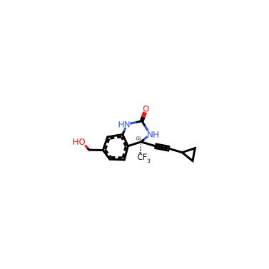 O=C1Nc2cc(CO)ccc2[C@@](C#CC2CC2)(C(F)(F)F)N1